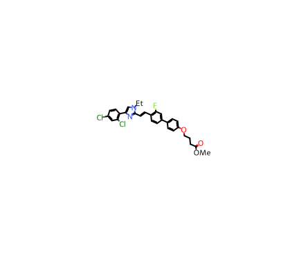 CCn1cc(-c2ccc(Cl)cc2Cl)nc1/C=C/c1ccc(-c2ccc(OCCCC(=O)OC)cc2)cc1F